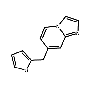 c1coc(Cc2ccn3ccnc3c2)c1